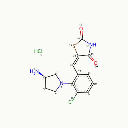 Cl.N[C@@H]1CCN(c2c(Cl)cccc2C=C2SC(=O)NC2=O)C1